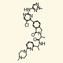 CC(NC(=O)C(C)N1Cc2ccc(-c3nc(Nc4cnn(C)n4)ncc3Cl)cc2C1=O)c1cccc(N2CCN(C)CC2)n1